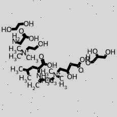 C=CC.CC(C)CC(N)C(=O)O.C[N+](C)(C)CC(O)CC(=O)O.C[N+](C)(C)CCO.NCC(=O)O.OCC(O)CO.OCCO